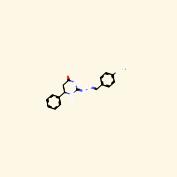 COc1ccc(C=NN=C2NC(=O)CC(c3ccccc3)N2)cc1